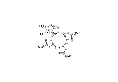 COC(=O)CN1CCN(CC(=O)OC)CCN([C@H]2[C@@H](C(=O)O)N(C(=O)O)C[C@@H]2O)CCN(CC(=O)OC)CC1